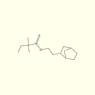 CCC(C)(C)C(=O)OCCC1CC2CCC1C2